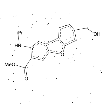 COC(=O)c1cc2oc3cc(CO)ccc3c2cc1NC(C)C